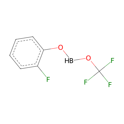 Fc1ccccc1OBOC(F)(F)F